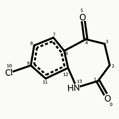 O=C1CCC(=O)c2ccc(Cl)cc2N1